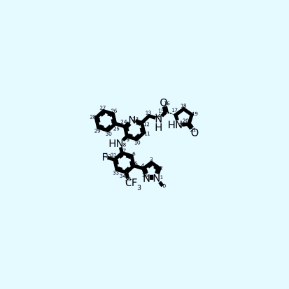 Cn1ccc(-c2cc(Nc3ccc(CNC(=O)[C@@H]4CCC(=O)N4)nc3-c3ccccc3)c(F)cc2C(F)(F)F)n1